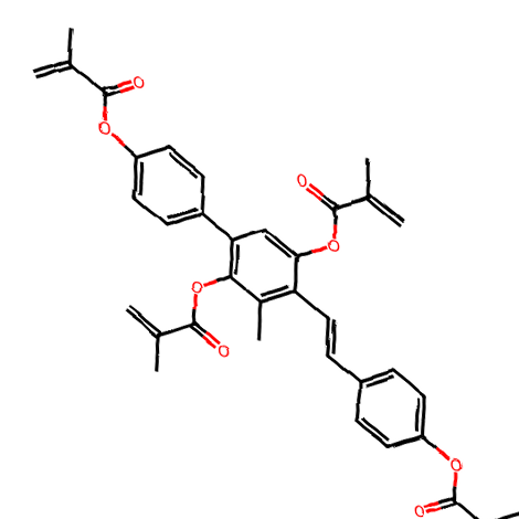 C=C(C)C(=O)Oc1ccc(/C=C/c2c(OC(=O)C(=C)C)cc(-c3ccc(OC(=O)C(=C)C)cc3)c(OC(=O)C(=C)C)c2C)cc1